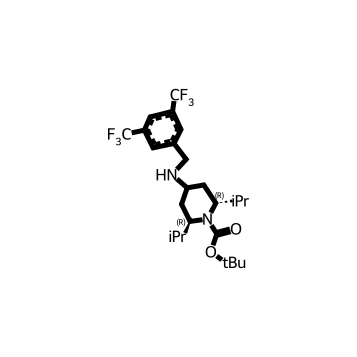 CC(C)[C@H]1CC(NCc2cc(C(F)(F)F)cc(C(F)(F)F)c2)C[C@H](C(C)C)N1C(=O)OC(C)(C)C